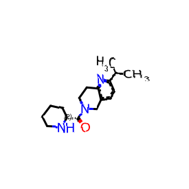 CC(C)c1ccc2c(n1)CCN(C(=O)[C@H]1CCCCN1)C2